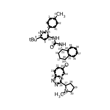 Cc1ccc(-n2nc(C(C)(C)C)cc2NC(=O)N[C@H]2CC[C@@H](Oc3ccc4nnc(C5CCCN5C)n4c3)c3ccccc32)cc1